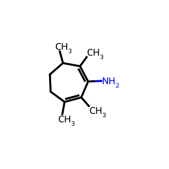 CC1=C(C)C(N)=C(C)C(C)CC1